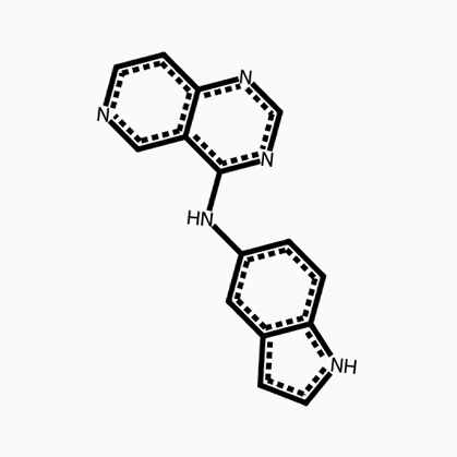 c1cc2ncnc(Nc3ccc4[nH]ccc4c3)c2cn1